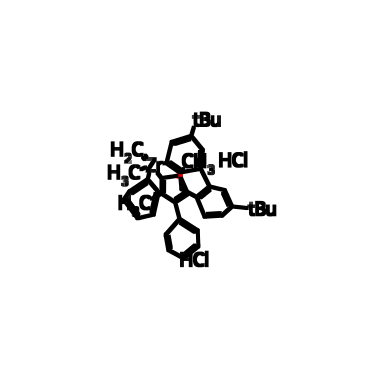 Cl.Cl.[CH2]=[Zr]([CH3])([C]1=C(C)C(c2ccccc2)=CC1C)([c]1ccccc1)[c]1cc(C(C)(C)C)cc2c1Cc1ccc(C(C)(C)C)cc1-2